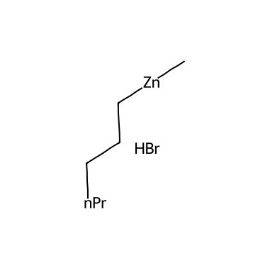 Br.CCCCC[CH2][Zn][CH3]